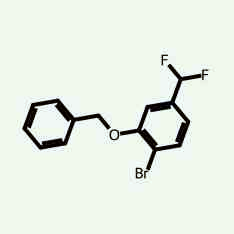 FC(F)c1ccc(Br)c(OCc2ccccc2)c1